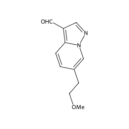 COCCc1ccc2c(C=O)cnn2c1